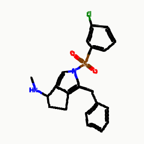 CNC1CCc2c1cn(S(=O)(=O)c1cccc(Cl)c1)c2Cc1ccccc1